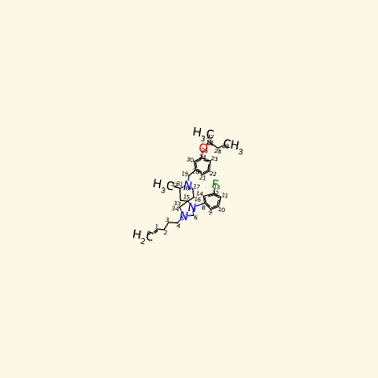 C=CCCCN1CN(c2cccc(F)c2)C2(CCN(Cc3cccc(O[C@H](C)CC)c3)C(C)C2)C1